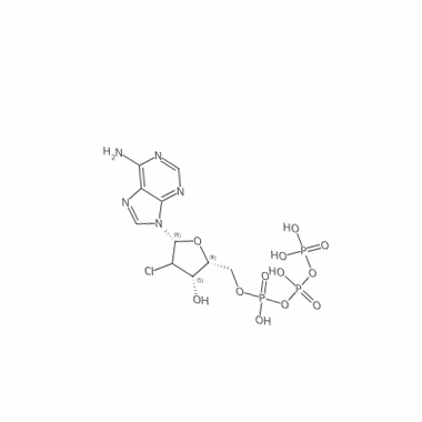 Nc1ncnc2c1ncn2[C@@H]1O[C@H](COP(=O)(O)OP(=O)(O)OP(=O)(O)O)[C@H](O)C1Cl